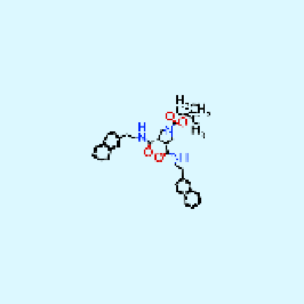 CC(C)(C)OC(=O)N1C[C@@H](C(=O)NCCc2ccc3ccccc3c2)[C@H](C(=O)NCCc2ccc3ccccc3c2)C1